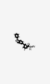 CCCNC(=O)c1cc(F)c(C)c(-c2ccc3c(cnn3-c3ccccc3)c2)c1